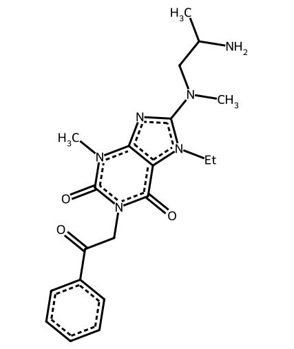 CCn1c(N(C)CC(C)N)nc2c1c(=O)n(CC(=O)c1ccccc1)c(=O)n2C